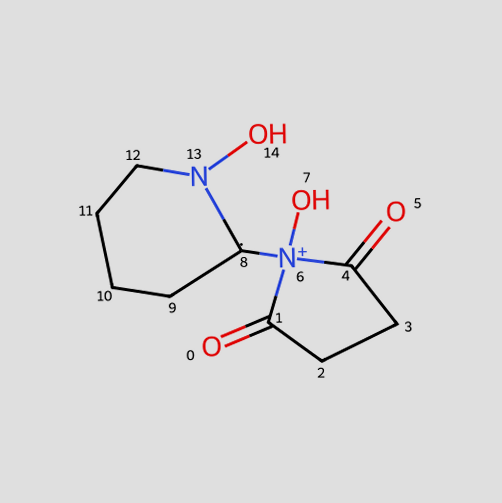 O=C1CCC(=O)[N+]1(O)[C]1CCCCN1O